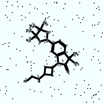 CC(C)CNC1CC(N2C(=O)C(C)(C)c3ccc(B4OC(C)(C)C(C)(C)O4)cc32)C1